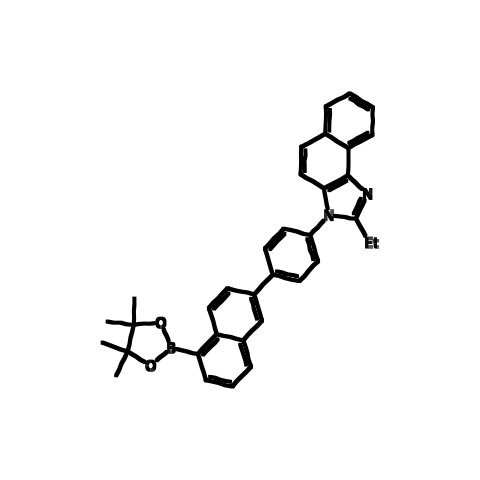 CCc1nc2c3ccccc3ccc2n1-c1ccc(-c2ccc3c(B4OC(C)(C)C(C)(C)O4)cccc3c2)cc1